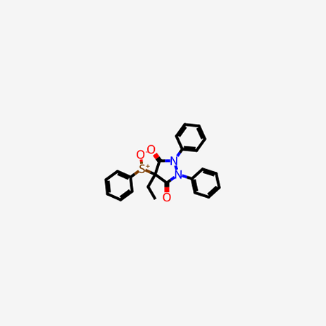 CCC1([S+]([O-])c2ccccc2)C(=O)N(c2ccccc2)N(c2ccccc2)C1=O